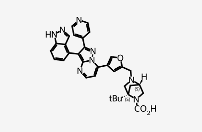 CC(C)(C)[C@]12C[C@@H](CN1C(=O)O)N(Cc1cc(-c3ccnc4c(-c5cccc6[nH]ncc56)c(-c5ccncc5)nn34)co1)C2